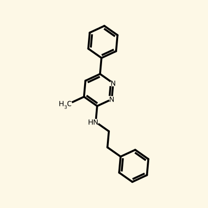 Cc1cc(-c2ccccc2)nnc1NCCc1ccccc1